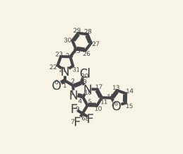 O=C(c1nc2c(C(F)(F)F)cc(-c3ccco3)cn2c1Cl)N1CCC(c2ccccc2)C1